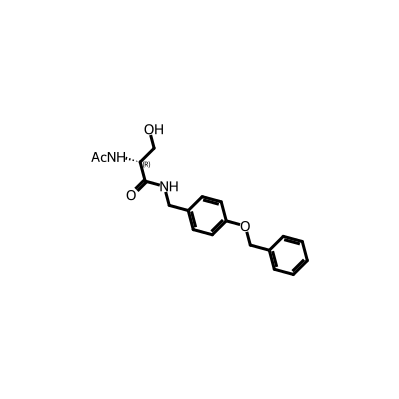 CC(=O)N[C@H](CO)C(=O)NCc1ccc(OCc2ccccc2)cc1